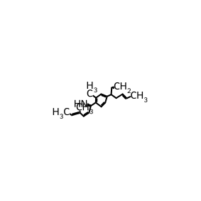 C=CC(C/C=C/C)c1ccc(C(=N)/C=C\C(C)=C\C)c(C)c1